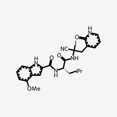 COc1cccc2[nH]c(C(=O)N[C@@H](CC(C)C)C(=O)NC(I)(C#N)Cc3ccc[nH]c3=O)cc12